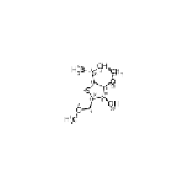 B[C@H](C)C1S[C@H](COC)[C@H](O)C1OC